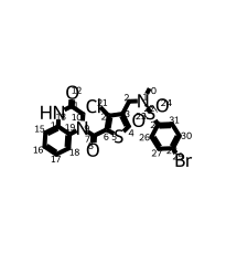 CN(Cc1csc(C(=O)N2CC(=O)Nc3ccccc32)c1Cl)S(=O)(=O)c1ccc(Br)cc1